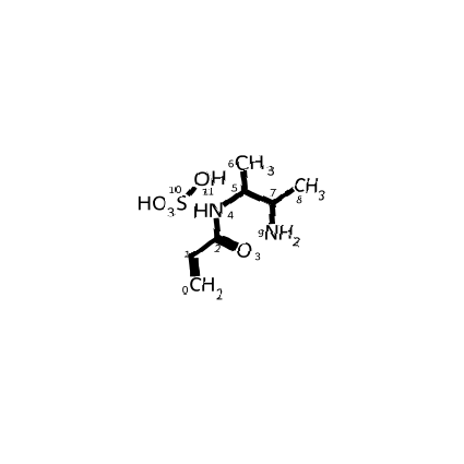 C=CC(=O)NC(C)C(C)N.O=S(=O)(O)O